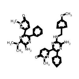 CN(C)c1nc(-c2ccc(=O)n(C)n2)c(-c2ccccc2)nc1N.COc1ccc(CNc2nc(-c3ccc(=O)n(C)n3)c(-c3ccccc3)nc2N)cc1